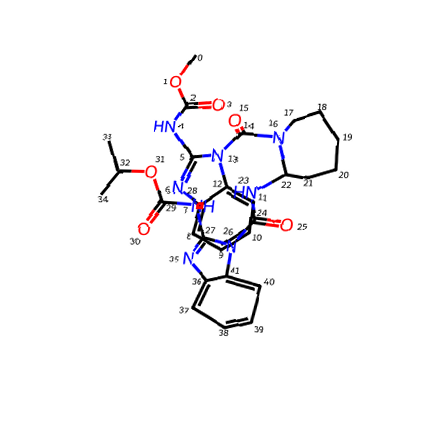 COC(=O)Nc1nc2ccccc2n1C(=O)N1CCCCCC1NC(=O)n1c(NC(=O)OC(C)C)nc2ccccc21